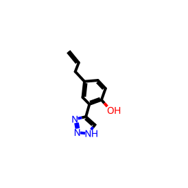 C=CCc1ccc(O)c(-c2c[nH]nn2)c1